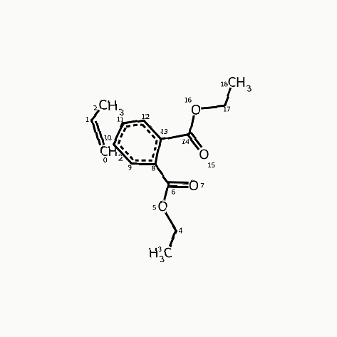 C=CC.CCOC(=O)c1ccccc1C(=O)OCC